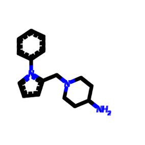 NC1CCN(Cc2cccn2-c2ccccc2)CC1